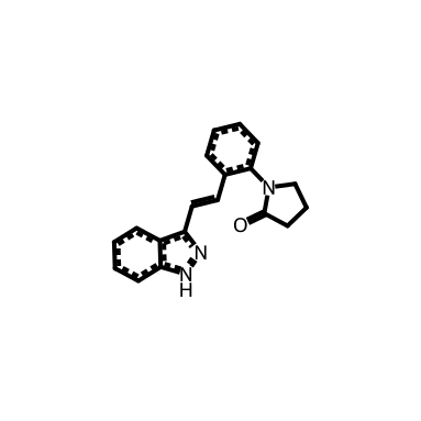 O=C1CCCN1c1ccccc1C=Cc1n[nH]c2ccccc12